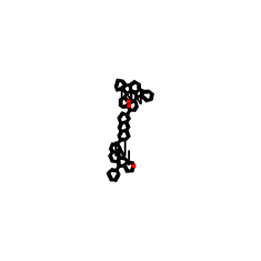 c1ccc(-c2c3ccccc3nc3c2ccc2ccc(-c4ccc5cc6cc(-c7ccc(-n8c9ccccc9c9ccc%10c%11ccccc%11n(-c%11ccccc%11)c%10c98)cc7)ccc6cc5c4)nc23)cc1